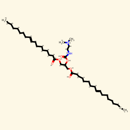 CCCCCCCCC=CCCCCCCCC(=O)OCC(COC(=O)CCCCCCCC=CCCCCCCCC)OC(=O)NCCN(C)C